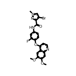 COc1cc2nccc(Oc3ccc(NC(=O)c4nn(C)cc4Br)cc3F)c2cc1OC